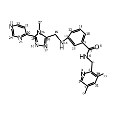 Cc1cnc(CNC(=O)c2cccc(NCc3nnc(-c4ccncn4)n3C)c2)c(C)c1